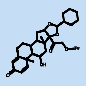 CC(C)OCC(=O)C12OC(C3CCCCC3)OC1CC1C3CCC4=CC(=O)C=CC4(C)C3C(O)CC12C